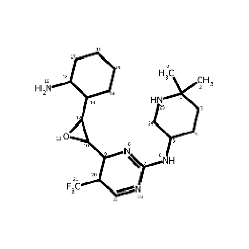 CC1(C)CCC(NC2=NC(C3OC3C3CCCCC3N)C(C(F)(F)F)C=N2)CN1